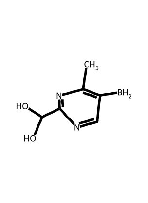 Bc1cnc(C(O)O)nc1C